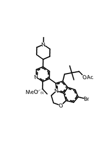 CO[C@@H](C)c1ncc(C2CCN(C)CC2)cc1-c1c(CC(C)(C)COC(C)=O)c2cc(Br)cc3c2n1CCO3